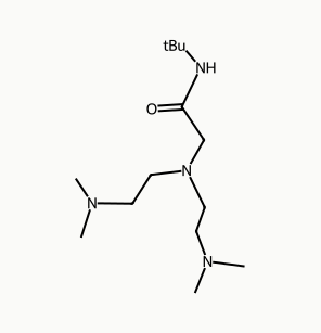 CN(C)CCN(CCN(C)C)CC(=O)NC(C)(C)C